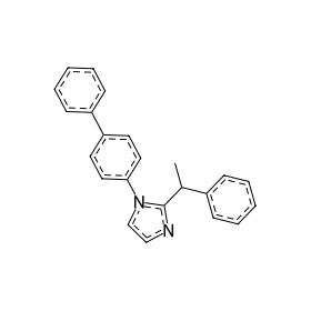 CC(c1ccccc1)c1nccn1-c1ccc(-c2ccccc2)cc1